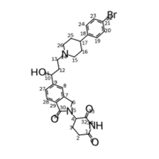 O=C1CCC(N2Cc3cc(C(O)CCN4CCC(c5ccc(Br)cc5)CC4)ccc3C2=O)C(=O)N1